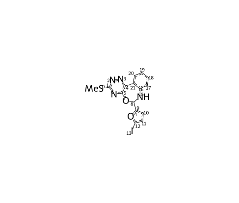 CSc1nnc2c(n1)OC(c1ccc(I)o1)Nc1ccccc1-2